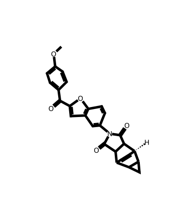 COc1ccc(C(=O)c2cc3cc(N4C(=O)C5C6C=C[C@H](C7CC67)C5C4=O)ccc3o2)cc1